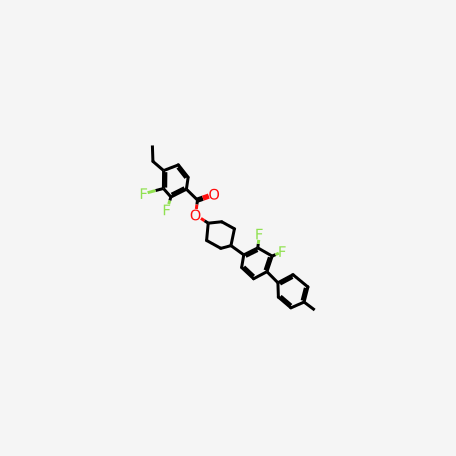 CCc1ccc(C(=O)OC2CCC(c3ccc(-c4ccc(C)cc4)c(F)c3F)CC2)c(F)c1F